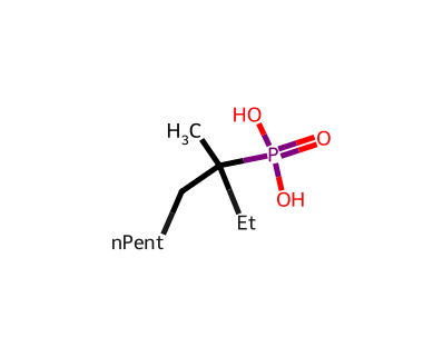 CCCCCCC(C)(CC)P(=O)(O)O